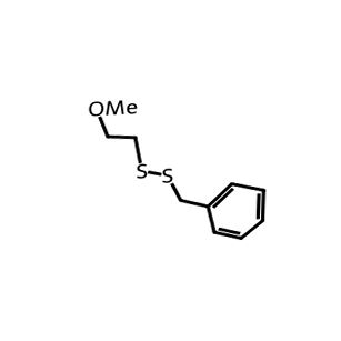 COCCSSCc1ccccc1